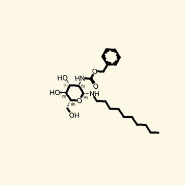 CCCCCCCCCCN[C@@H]1O[C@H](CO)[C@@H](O)[C@H](O)[C@@H]1NC(=O)OCc1ccccc1